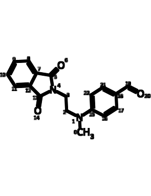 CN(CCN1C(=O)c2ccccc2C1=O)c1ccc(C=O)cc1